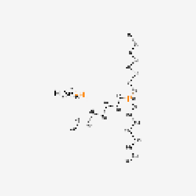 CCCCCCCCP(CCCCCCCC)CCCCCCCC.P.[SeH2]